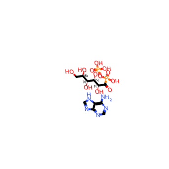 Nc1ncnc2nc[nH]c12.O=C([C@H](O)[C@@H](O)[C@H](O)[C@H](O)CO)P(=O)(O)OP(=O)(O)O